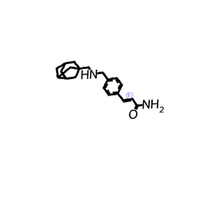 NC(=O)/C=C/c1ccc(CNCC23CC4CC(C2)C(C4)C3)cc1